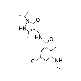 CCNc1cc(Cl)cc(C(=O)NCc2c(C)[nH]n(C(C)C)c2=O)c1C